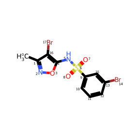 Cc1noc(NS(=O)(=O)c2cccc(Br)c2)c1Br